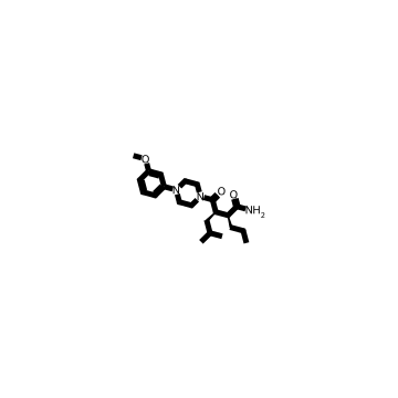 CCC[C@H](C(N)=O)[C@@H](CC(C)C)C(=O)N1CCN(c2cccc(OC)c2)CC1